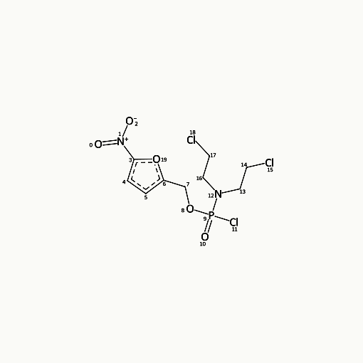 O=[N+]([O-])c1ccc(COP(=O)(Cl)N(CCCl)CCCl)o1